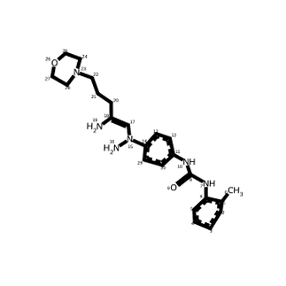 Cc1ccccc1NC(=O)Nc1ccc(N(N)/C=C(\N)CCCN2CCOCC2)cc1